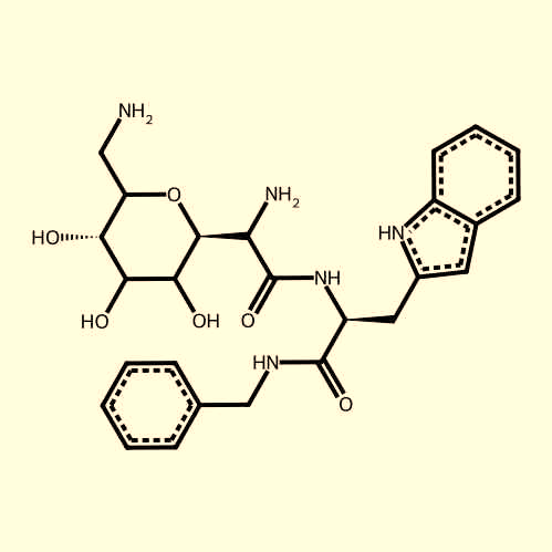 NCC1O[C@@H](C(N)C(=O)N[C@@H](Cc2cc3ccccc3[nH]2)C(=O)NCc2ccccc2)C(O)C(O)[C@@H]1O